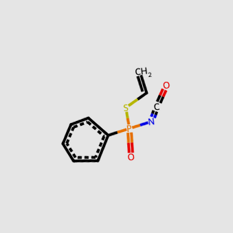 C=CSP(=O)(N=C=O)c1ccccc1